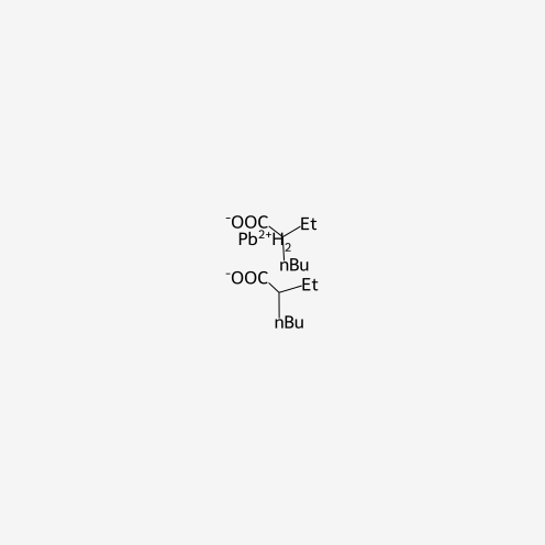 CCCCC(CC)C(=O)[O-].CCCCC(CC)C(=O)[O-].[PbH2+2]